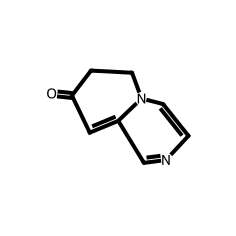 O=C1C=C2C=NC=CN2CC1